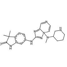 CN(C1CCCNC1)[N+]12C=CN=CC1=NC(Nc1ccc3c(c1)NC(=O)C3(C)C)=N2